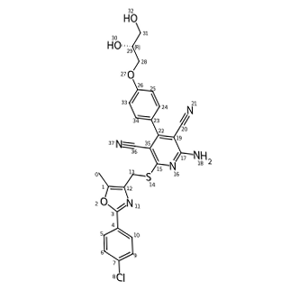 Cc1oc(-c2ccc(Cl)cc2)nc1CSc1nc(N)c(C#N)c(-c2ccc(OC[C@H](O)CO)cc2)c1C#N